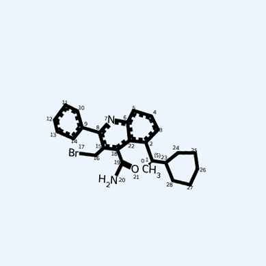 C[C@H](c1cccc2nc(-c3ccccc3)c(CBr)c(C(N)=O)c12)C1CCCCC1